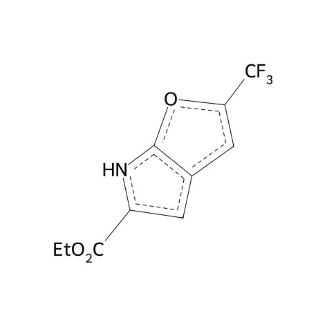 CCOC(=O)c1cc2cc(C(F)(F)F)oc2[nH]1